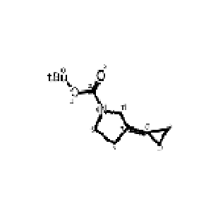 CC(C)(C)OC(=O)N1CCC(=C2CC2)C1